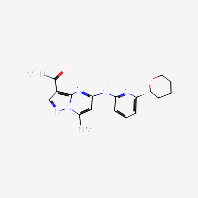 CNC(=O)c1cnn2c(NC)cc(Nc3cccc([C@@H]4CCCCO4)n3)nc12